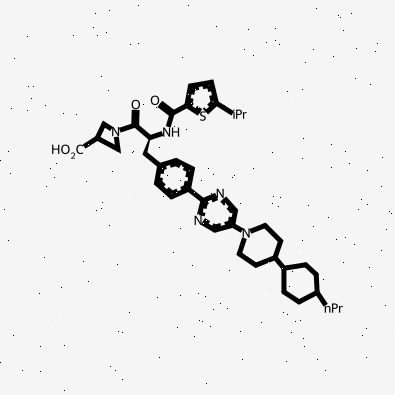 CCCC1CCC(C2CCN(c3cnc(-c4ccc(C[C@H](NC(=O)c5ccc(C(C)C)s5)C(=O)N5CC(C(=O)O)C5)cc4)nc3)CC2)CC1